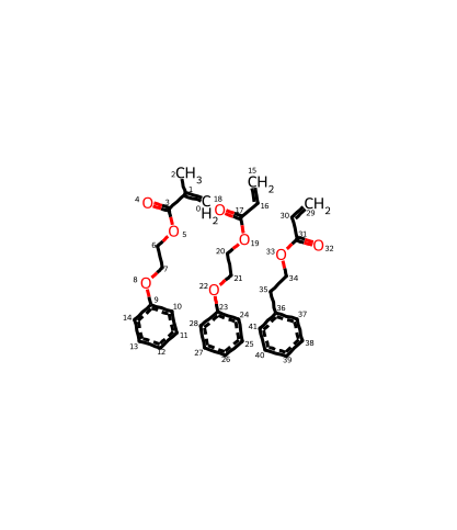 C=C(C)C(=O)OCCOc1ccccc1.C=CC(=O)OCCOc1ccccc1.C=CC(=O)OCCc1ccccc1